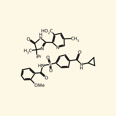 COc1ccccc1C(=O)NS(=O)(=O)c1ccc(C(=O)NC2CC2)cc1.Cc1cnc(C2=NC(C)(C(C)C)C(=O)N2)c(C(=O)O)c1